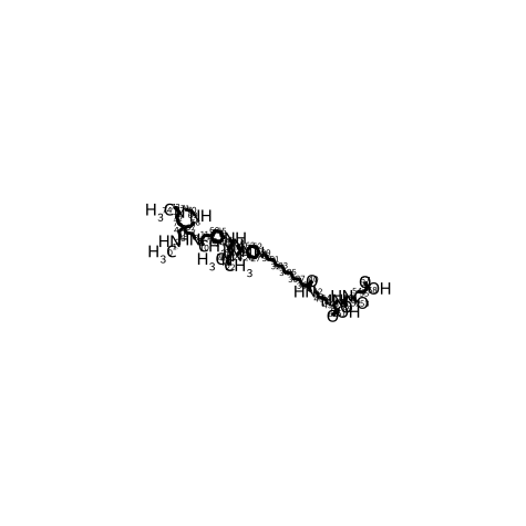 CCNCCC1(CCNC(C)Cc2ccc(Nc3nc(N(C)C)nc(N4CCN(CCCCCCCCCCC(=O)NCCCC[C@H](NC(=O)N[C@H](C=O)CCC(=O)O)C(=O)O)CC4)n3)cc2)CCNCCN(CC)CC1